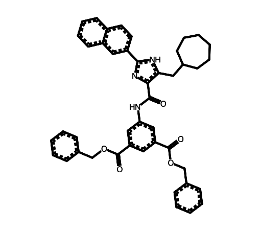 O=C(OCc1ccccc1)c1cc(NC(=O)c2nc(-c3ccc4ccccc4c3)[nH]c2CC2CCCCCC2)cc(C(=O)OCc2ccccc2)c1